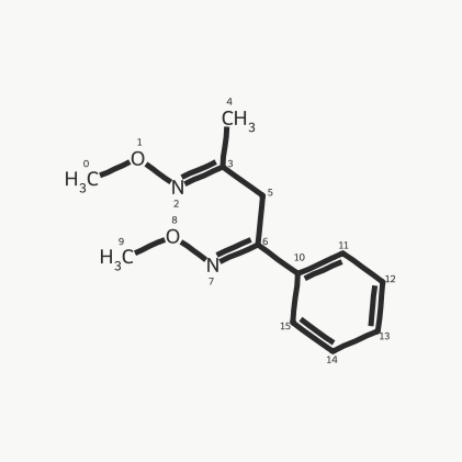 CON=C(C)CC(=NOC)c1ccccc1